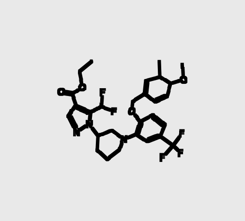 CCOC(=O)c1cnn(C2CCCN(c3cc(C(F)(F)F)ccc3OCC3=CC(C)C(OC)C=C3)C2)c1C(F)F